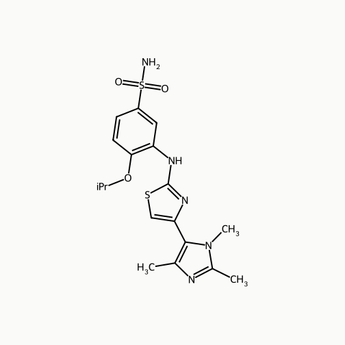 Cc1nc(C)n(C)c1-c1csc(Nc2cc(S(N)(=O)=O)ccc2OC(C)C)n1